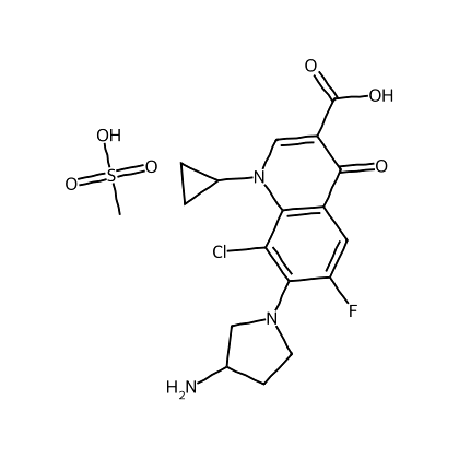 CS(=O)(=O)O.NC1CCN(c2c(F)cc3c(=O)c(C(=O)O)cn(C4CC4)c3c2Cl)C1